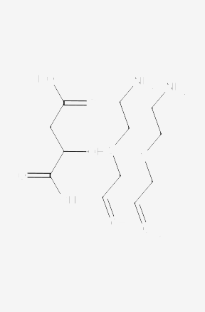 C=CCSCCN.C=CCSCCN.O=C(O)CC(O)C(=O)O